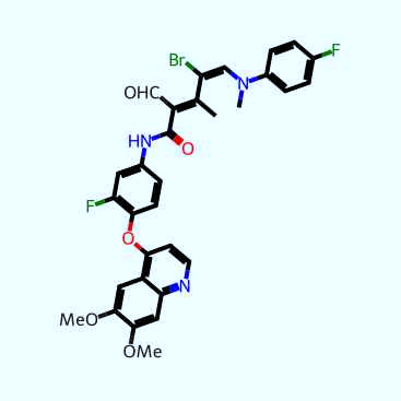 COc1cc2nccc(Oc3ccc(NC(=O)/C(C=O)=C(C)/C(Br)=C\N(C)c4ccc(F)cc4)cc3F)c2cc1OC